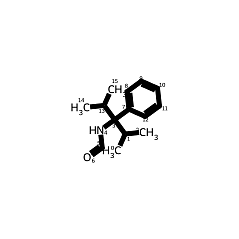 CC(C)C(N[C]=O)(c1ccccc1)C(C)C